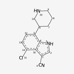 N#Cc1c[nH]c2c(C3CCCNC3)ccc(Cl)c12